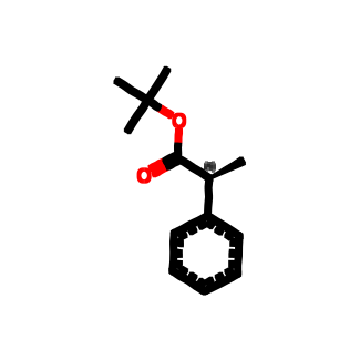 C[C@H](C(=O)OC(C)(C)C)c1ccccc1